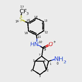 NC1C2CCC(C2)C1C(=O)Nc1cccc(SC(F)(F)F)c1